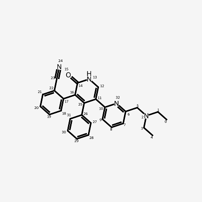 CCN(CC)Cc1cccc(-c2c[nH]c(=O)c(-c3ccccc3C#N)c2-c2ccccc2)n1